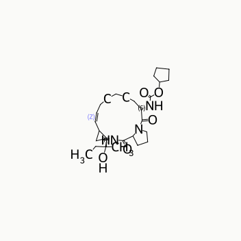 CCC(C)(O)[C@@]12CC1/C=C\CCCCC[C@H](NC(=O)OC1CCCC1)C(=O)N1CCCC1C(=O)N2